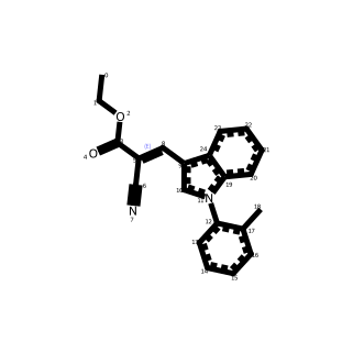 CCOC(=O)/C(C#N)=C/c1cn(-c2ccccc2C)c2ccccc12